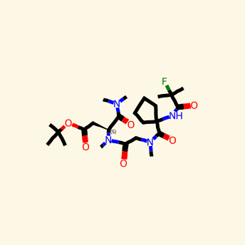 CN(C)C(=O)[C@H](CC(=O)OC(C)(C)C)N(C)C(=O)CN(C)C(=O)C1(NC(=O)C(C)(C)F)CCCC1